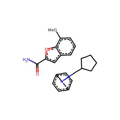 COc1cccc2cc(C(N)=O)oc12.c1cc2ccc1CN(C1CCCC1)C2